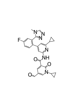 Cn1cnnc1-c1cc(F)ccc1-c1cc(NC(=O)c2cc(C=O)cn(C3CC3)c2=O)nc(C2CC2)c1